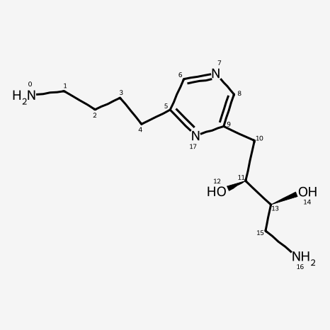 NCCCCc1cncc(C[C@H](O)[C@@H](O)CN)n1